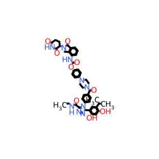 CCNC(=O)c1nnc(-c2cc(C(C)C)c(O)cc2O)n1-c1ccc(C(=O)N2CCN(c3ccc(OC(=O)Nc4cccc5c4CN(C4CCC(=O)NC4=O)C5=O)cc3)CC2)cc1